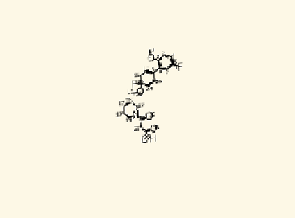 COc1ccc(F)cc1C1=CCC(F)(OC[C@H]2CCCN(C(=O)CC(=O)O)C2)C=C1